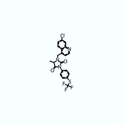 CC1C(=O)N(c2ccc(SC(F)(F)F)cc2)C(=O)N1Cc1ccnc2cc(Cl)ccc12